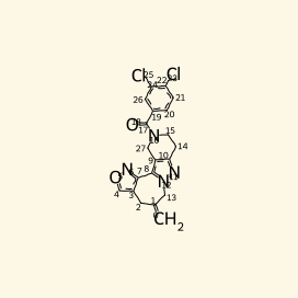 C=C1Cc2conc2-c2c3c(nn2C1)CCN(C(=O)c1ccc(Cl)c(Cl)c1)C3